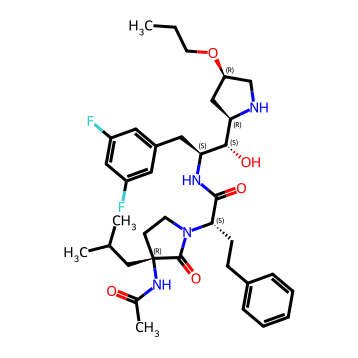 CCCO[C@H]1CN[C@@H]([C@H](O)[C@H](Cc2cc(F)cc(F)c2)NC(=O)[C@H](CCc2ccccc2)N2CC[C@@](CC(C)C)(NC(C)=O)C2=O)C1